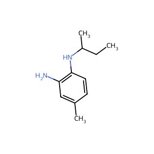 CCC(C)Nc1ccc(C)cc1N